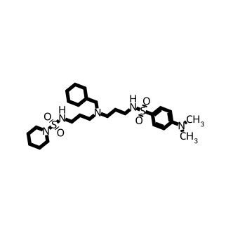 CN(C)c1ccc(S(=O)(=O)NCCCN(CCCNS(=O)(=O)N2CCCCC2)CC2CCCCC2)cc1